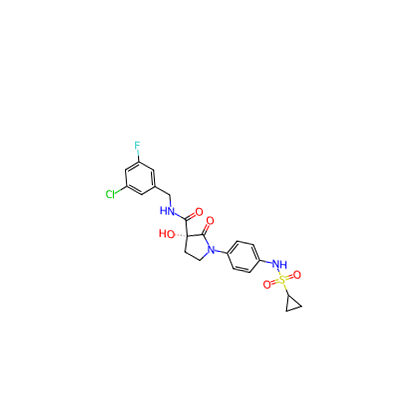 O=C(NCc1cc(F)cc(Cl)c1)[C@]1(O)CCN(c2ccc(NS(=O)(=O)C3CC3)cc2)C1=O